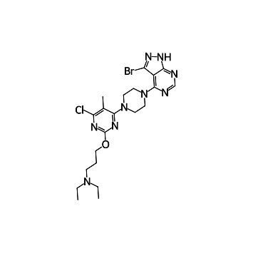 CCN(CC)CCCOc1nc(Cl)c(C)c(N2CCN(c3ncnc4[nH]nc(Br)c34)CC2)n1